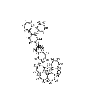 c1ccc(-c2ccccc2-c2ccc(-n3nc4ccc(-c5ccc6ccc7ccc8oc9ccccc9c8c7c6c5)cc4n3)cc2)cc1